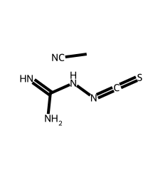 CC#N.N=C(N)NN=C=S